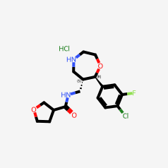 Cl.O=C(NC[C@@H]1CNCCO[C@H]1c1ccc(Cl)c(F)c1)C1CCOC1